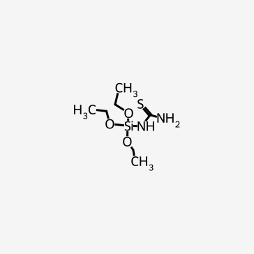 CCO[Si](NC(N)=S)(OCC)OCC